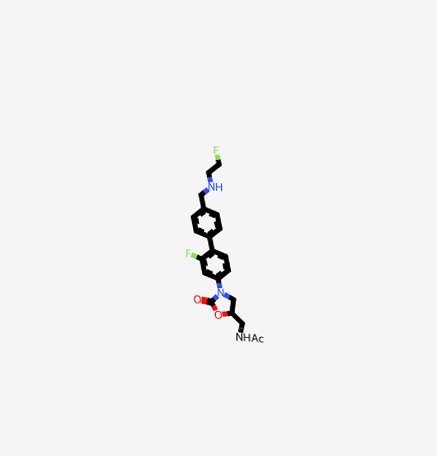 CC(=O)NCC1CN(c2ccc(-c3ccc(CNCCF)cc3)c(F)c2)C(=O)O1